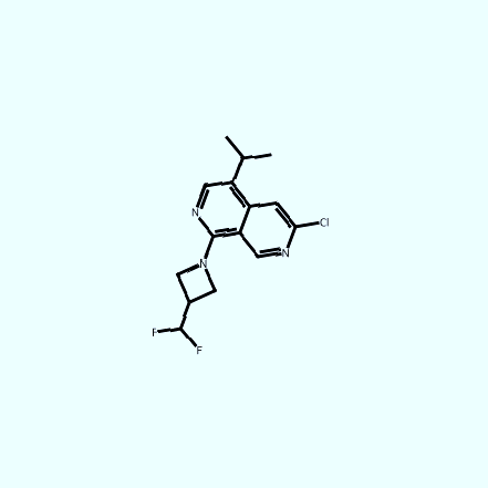 CC(C)c1cnc(N2CC(C(F)F)C2)c2cnc(Cl)cc12